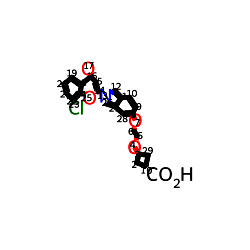 O=C(O)C1CC(OCCOc2ccc3cn(-c4cc(=O)c5cccc(Cl)c5o4)cc3c2)C1